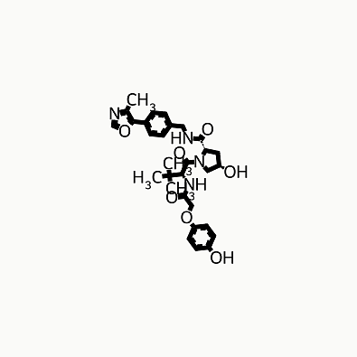 Cc1ncoc1-c1ccc(CNC(=O)[C@@H]2C[C@@H](O)CN2C(=O)[C@@H](NC(=O)COc2ccc(O)cc2)C(C)(C)C)cc1